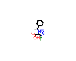 C[C@H](c1ccccc1)n1nnc(F)c1C(=O)O